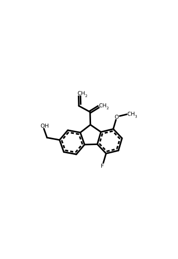 C=CC(=C)C1c2cc(CO)ccc2-c2c(F)ccc(OC)c21